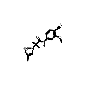 COc1cc(NC(=O)C(C)(C)N2C=C(C)CN2)ccc1C#N